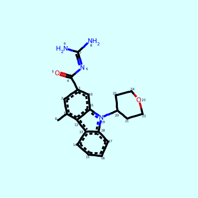 Cc1cc(C(=O)N=C(N)N)cc2c1c1ccccc1n2C1CCOCC1